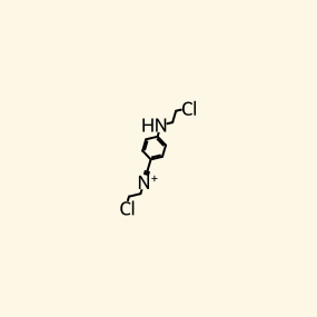 ClCC[N+]#Cc1ccc(NCCCl)cc1